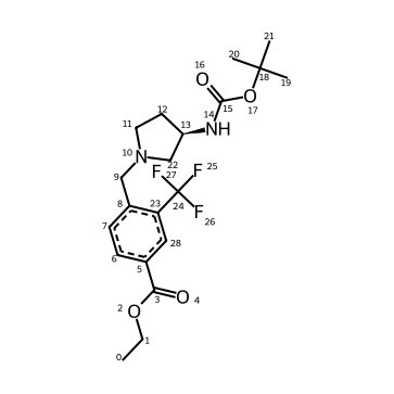 CCOC(=O)c1ccc(CN2CC[C@@H](NC(=O)OC(C)(C)C)C2)c(C(F)(F)F)c1